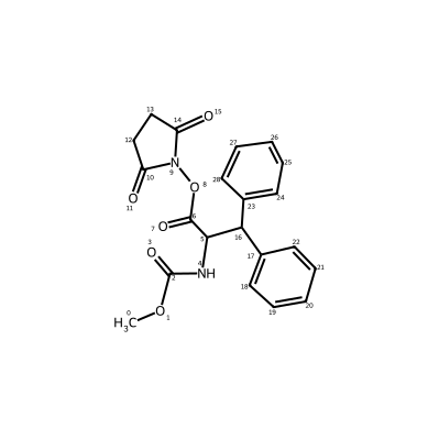 COC(=O)NC(C(=O)ON1C(=O)CCC1=O)C(c1ccccc1)c1ccccc1